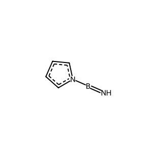 N=Bn1cccc1